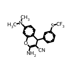 CN(C)c1ccc2c(c1)OC(N)=C(C#N)C2c1cccc(SC(F)(F)F)c1